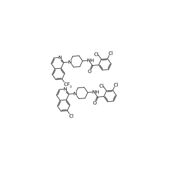 O=C(NC1CCN(c2nccc3ccc(C(F)(F)F)cc23)CC1)c1cccc(Cl)c1Cl.O=C(NC1CCN(c2nccc3ccc(Cl)cc23)CC1)c1cccc(Cl)c1Cl